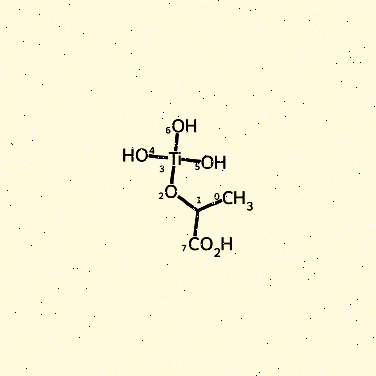 CC([O][Ti]([OH])([OH])[OH])C(=O)O